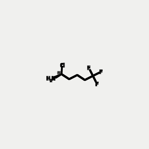 N[C@@H](Cl)CCCC(F)(F)F